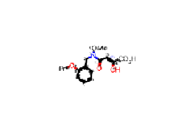 CON(Cc1ccccc1OC(C)C)C(=O)/C=C(\O)C(=O)O